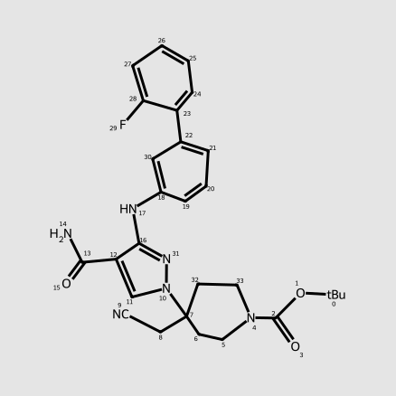 CC(C)(C)OC(=O)N1CCC(CC#N)(n2cc(C(N)=O)c(Nc3cccc(-c4ccccc4F)c3)n2)CC1